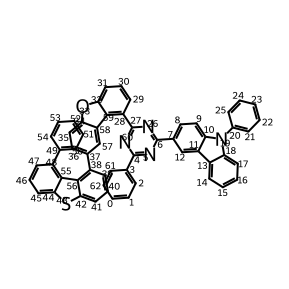 c1ccc(-c2nc(-c3ccc4c(c3)c3ccccc3n4-c3ccccc3)nc(-c3cccc4oc5ccc(-c6cccc7sc8cccc(-c9ccccc9)c8c67)cc5c34)n2)cc1